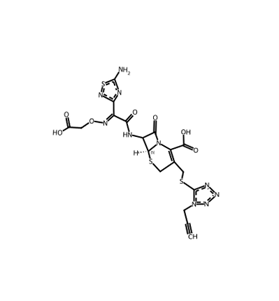 C#CCn1nnnc1SCC1=C(C(=O)O)N2C(=O)C(NC(=O)C(=NOCC(=O)O)c3nsc(N)n3)[C@@H]2SC1